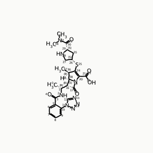 C[C@@H](NC(=O)c1ccccc1-n1cnnn1)[C@H]1C(=O)N2C(C(=O)O)=C(S[C@@H]3CN[C@H](C(=O)N(C)C)C3)[C@H](C)[C@H]12